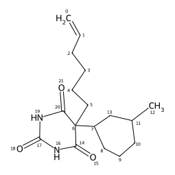 C=CCCCCC1(C2CCCC(C)C2)C(=O)NC(=O)NC1=O